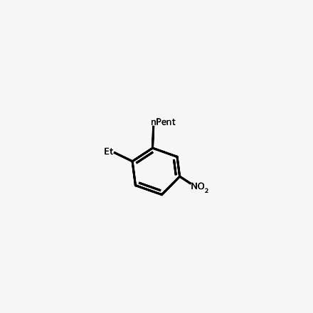 CCCCCc1cc([N+](=O)[O-])ccc1CC